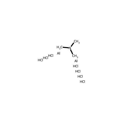 CN(C)C.Cl.Cl.Cl.Cl.Cl.Cl.Cl.[Al].[Al]